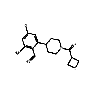 N=Cc1c(N)cc(Cl)cc1C1CCN(C(=O)C2COC2)CC1